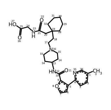 Cc1ccc(-c2ccoc2C(=O)NC2CCN(CCC3(CC(=O)NCC(=O)O)CCCCC3)CC2)nc1